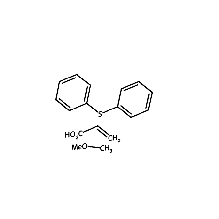 C=CC(=O)O.COC.c1ccc(Sc2ccccc2)cc1